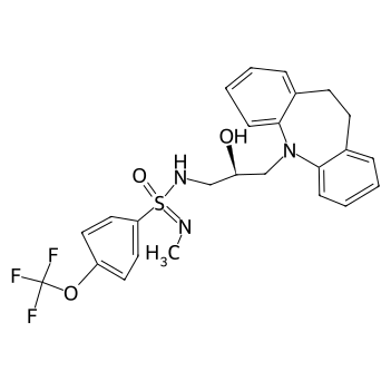 CN=S(=O)(NC[C@@H](O)CN1c2ccccc2CCc2ccccc21)c1ccc(OC(F)(F)F)cc1